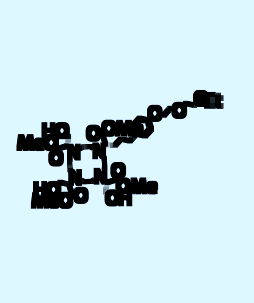 CCOCCOCCOc1ccc(CCC[C@@H](C(=O)OC)N2CCN([C@@H](CO)C(=O)OC)CCN([C@H](CO)C(=O)OC)CCN([C@@H](CO)C(=O)OC)CC2)cc1